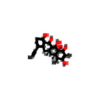 CCC#Cc1ccc(O)c2c1C[C@]1(C)C[C@]3(C)C(C(C)C)C(O)=C(C(C)=O)C(=O)[C@]3(O)C(O)=C1C2=O